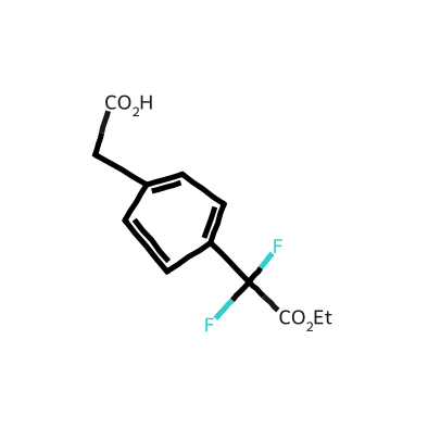 CCOC(=O)C(F)(F)c1ccc(CC(=O)O)cc1